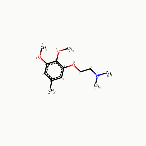 [CH2]c1cc(OC)c(OC)c(OCCN(C)C)c1